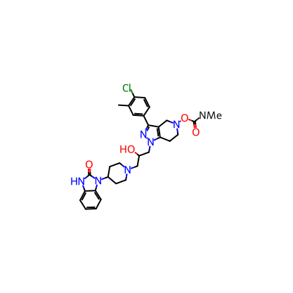 CNC(=O)ON1CCc2c(c(-c3ccc(Cl)c(C)c3)nn2CC(O)CN2CCC(n3c(=O)[nH]c4ccccc43)CC2)C1